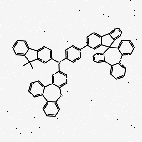 CC1(C)c2ccccc2-c2ccc(N(c3ccc(-c4ccc5c(c4)C4(c6ccccc6-c6ccccc6-c6ccccc64)c4ccccc4-5)cc3)c3ccc4c(c3)-c3ccccc3-c3ccccc3O4)cc21